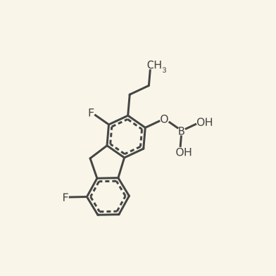 CCCc1c(OB(O)O)cc2c(c1F)Cc1c(F)cccc1-2